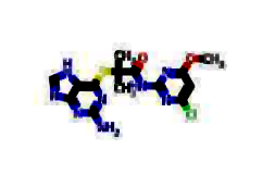 COc1cc(Cl)nc(NC(=O)C(C)(C)Sc2nc(N)nc3nc[nH]c23)n1